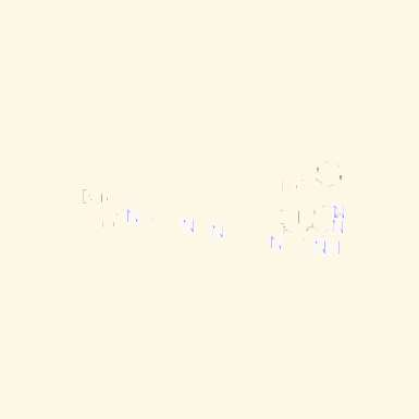 C[C@@H]1c2c([nH]c3nnc(-c4ccccc4O)cc23)CCN1[C@H]1CC[C@@H](N2CCN(C3CC4(C3)CN(C(=O)OC(C)(C)C)C4)CC2)CC1